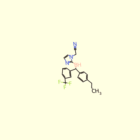 CCCc1ccc(C(Bc2nccn2CC#N)c2cccc(C(F)(F)F)c2)cc1